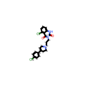 O=c1[nH]c2cccc(Cl)c2c(=O)n1CCCN1CC=C(c2ccc(Cl)cc2)CC1